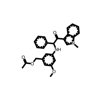 COc1cc(COC(C)=O)cc(NC(C(=O)c2cn(C)c3ccccc23)c2ccccc2)c1